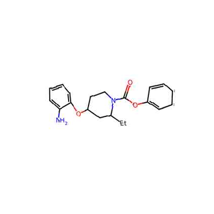 CCC1CC(Oc2ccccc2N)CCN1C(=O)OC1=C[C][C]C=C1